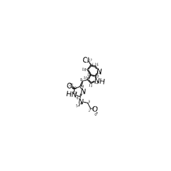 COCCN(C)C1=NC(=Cc2c[nH]c3ncc(Cl)cc23)C(=O)N1